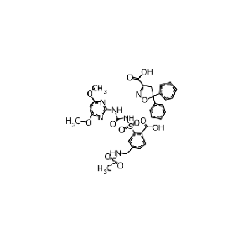 COc1cc(OC)nc(NC(=O)NS(=O)(=O)c2cc(CNS(C)(=O)=O)ccc2C(=O)O)n1.O=C(O)C1=NOC(c2ccccc2)(c2ccccc2)C1